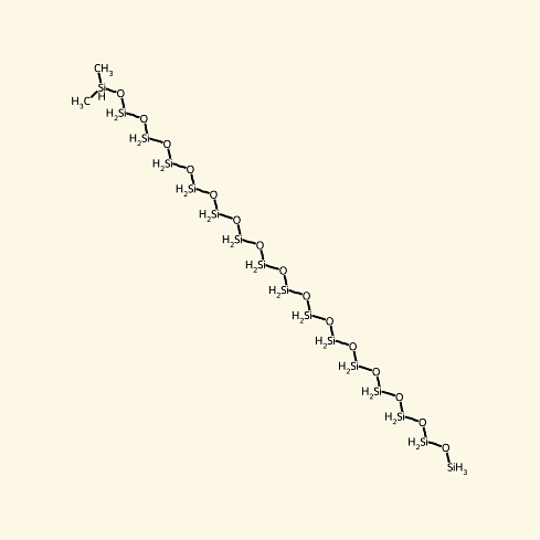 C[SiH](C)O[SiH2]O[SiH2]O[SiH2]O[SiH2]O[SiH2]O[SiH2]O[SiH2]O[SiH2]O[SiH2]O[SiH2]O[SiH2]O[SiH2]O[SiH2]O[SiH2]O[SiH3]